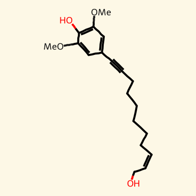 COc1cc(C#CCCCCCC/C=C\CO)cc(OC)c1O